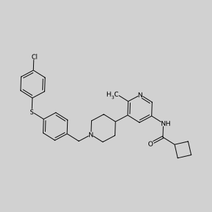 Cc1ncc(NC(=O)C2CCC2)cc1C1CCN(Cc2ccc(Sc3ccc(Cl)cc3)cc2)CC1